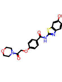 O=C(Nc1nc2ccc(O)cc2s1)c1ccc(OCC(=O)N2CCOCC2)cc1